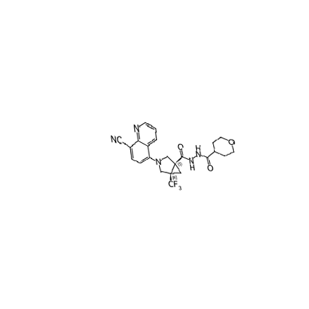 N#Cc1ccc(N2C[C@]3(C(=O)NNC(=O)C4CCOCC4)C[C@]3(C(F)(F)F)C2)c2cccnc12